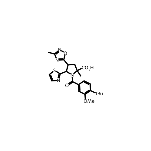 COc1cc(C(=O)N2C(c3nccs3)C(c3nc(C)no3)CC2(C)C(=O)O)ccc1C(C)(C)C